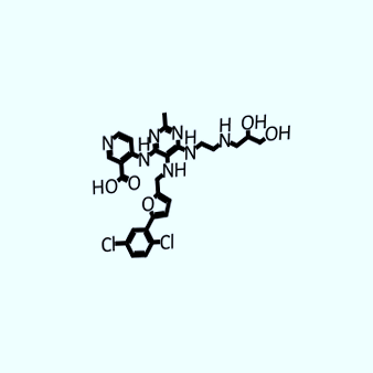 Cc1nc(NCCNCC(O)CO)c(NCc2ccc(-c3cc(Cl)ccc3Cl)o2)c(Nc2ccncc2C(=O)O)n1